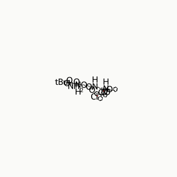 CC(C)(C)OC(=O)[C@@H](N)CCC(=O)NCCOCCOCC(=O)NCCCC[C@H](NC(=O)OCc1ccccc1)C(=O)OC(c1ccccc1)(c1ccccc1)c1ccccc1Cl